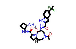 CC(=O)N1CC[C@H]2CC[C@@H](C(=O)N[C@H]3CCC[C@H]3N)N2C(=O)C(NC(=O)c2cc3cc(C(C)(F)F)ccc3[nH]2)C1